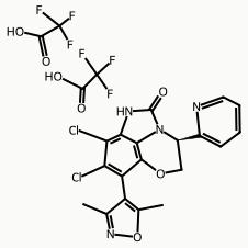 Cc1noc(C)c1-c1c(Cl)c(Cl)c2[nH]c(=O)n3c2c1OC[C@@H]3c1ccccn1.O=C(O)C(F)(F)F.O=C(O)C(F)(F)F